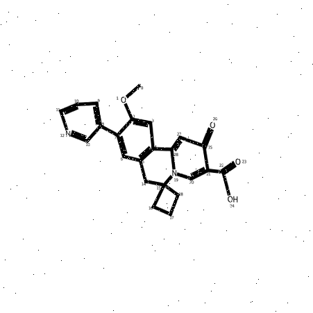 COc1cc2c(cc1-c1cccnc1)CC1(CCC1)n1cc(C(=O)O)c(=O)cc1-2